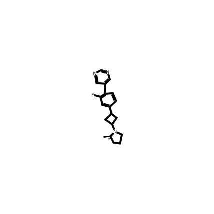 C[C@@H]1CCCN1C1CC(c2ccc(-c3cncnc3)c(F)c2)C1